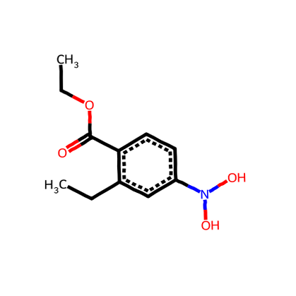 CCOC(=O)c1ccc(N(O)O)cc1CC